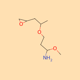 COC(N)CCOC(C)CC1CO1